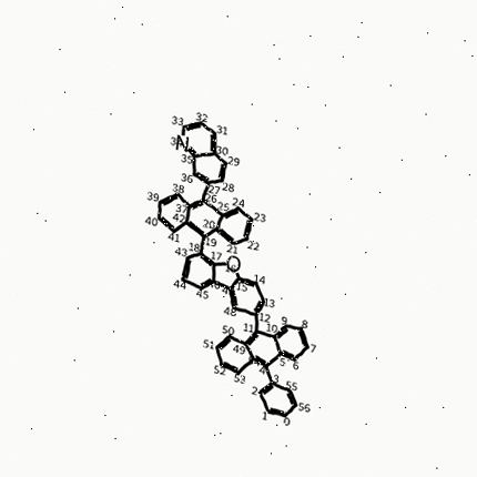 c1ccc(-c2c3ccccc3c(-c3ccc4oc5c(-c6c7ccccc7c(-c7ccc8cccnc8c7)c7ccccc67)cccc5c4c3)c3ccccc23)cc1